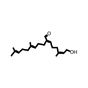 CC(C)=CCC/C(C)=C/CC/C(C=O)=C\CC/C(C)=C\CO